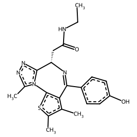 CCNC(=O)C[C@@H]1N=C(c2ccc(O)cc2)c2c(sc(C)c2C)-n2c(C)nnc21